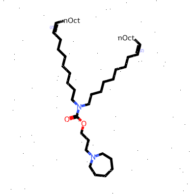 CCCCCCCC/C=C\CCCCCCCCN(CCCCCCCC/C=C\CCCCCCCC)C(=O)OCCCN1CCCCCC1